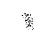 CC(=O)O[C@@]1(C(=O)CF)[C@@H](C)C[C@H]2[C@@H]3C[C@H](F)C4=C(F)C(=O)C=C[C@]4(C)[C@H]3[C@@H](O)C[C@@]21C